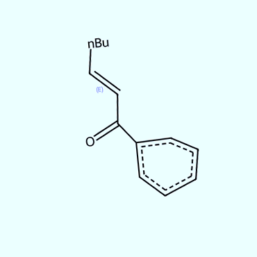 CCCC/C=C/C(=O)c1ccccc1